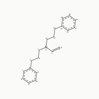 O=[C]N(CCCc1ccccc1)CCCc1ccccc1